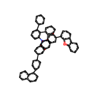 c1ccc(-c2ccccc2-c2c(-c3ccccc3)cccc2N(c2ccc(-c3ccc(-c4cccc5ccccc45)cc3)cc2)c2ccc(-c3cccc4c3oc3ccccc34)cc2)cc1